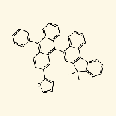 CC1(C)c2ccccc2-c2c1cc(-c1c3ccccc3c(-c3ccccc3)c3ccc(-c4ccco4)cc13)c1ccccc21